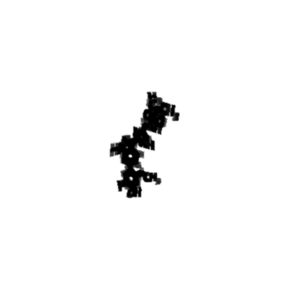 CCc1cc(O)c(F)cc1-c1ccc2c(-c3nc(CNS(=O)(=O)C(C)C)c[nH]3)n[nH]c2c1